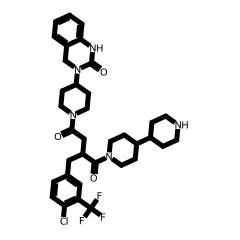 O=C(CC(Cc1ccc(Cl)c(C(F)(F)F)c1)C(=O)N1CCC(C2CCNCC2)CC1)N1CCC(N2Cc3ccccc3NC2=O)CC1